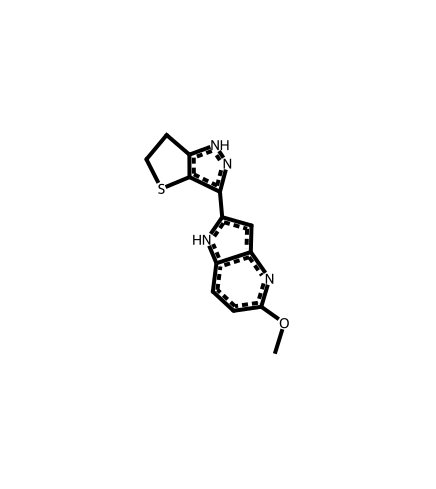 COc1ccc2[nH]c(-c3n[nH]c4c3SCC4)cc2n1